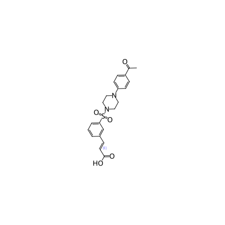 CC(=O)c1ccc(N2CCN(S(=O)(=O)c3cccc(/C=C/C(=O)O)c3)CC2)cc1